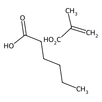 C=C(C)C(=O)O.CCCCCC(=O)O